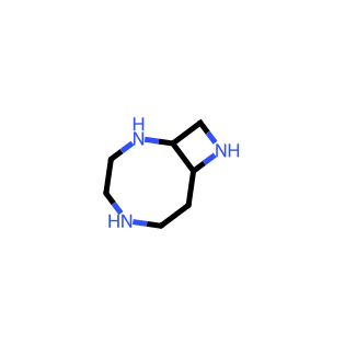 C1CNC2CNC2CCN1